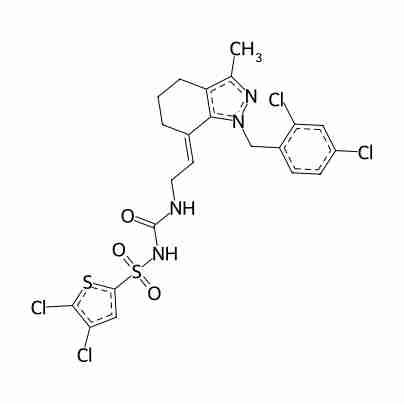 Cc1nn(Cc2ccc(Cl)cc2Cl)c2c1CCCC2=CCNC(=O)NS(=O)(=O)c1cc(Cl)c(Cl)s1